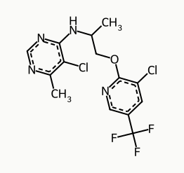 Cc1ncnc(NC(C)COc2ncc(C(F)(F)F)cc2Cl)c1Cl